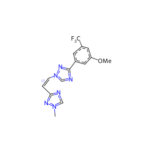 COc1cc(-c2ncn(/C=C\c3ncn(C)n3)n2)cc(C(F)(F)F)c1